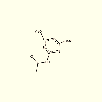 COc1cc(OC)nc(NC(C)[O])n1